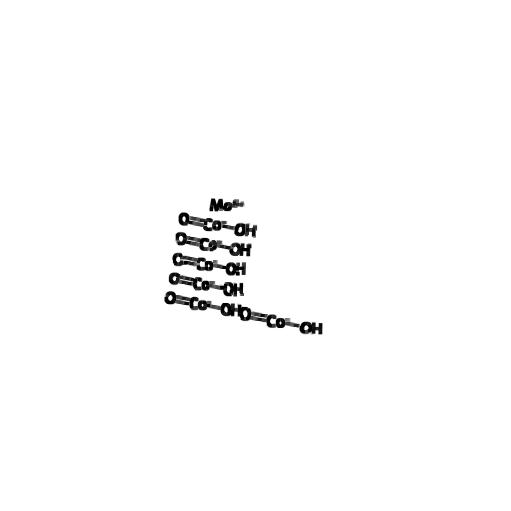 [Mo+6].[O]=[Co-][OH].[O]=[Co-][OH].[O]=[Co-][OH].[O]=[Co-][OH].[O]=[Co-][OH].[O]=[Co-][OH]